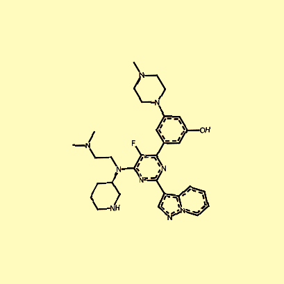 CN(C)CCN(c1nc(-c2cnn3ccccc23)nc(-c2cc(O)cc(N3CCN(C)CC3)c2)c1F)[C@@H]1CCCNC1